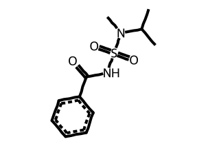 CC(C)N(C)S(=O)(=O)NC(=O)c1ccccc1